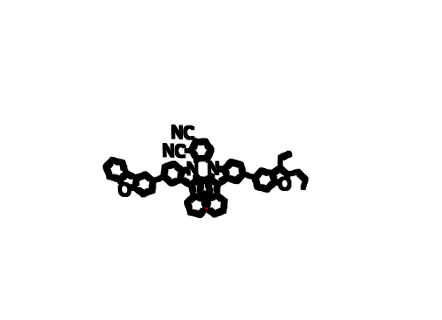 C=Cc1c(/C=C\C)oc2ccc(-c3ccc4c(c3)c3c5ccccc5ccc3n4-c3ccc(C#N)c(C#N)c3-n3c4ccc(-c5ccc6oc7ccccc7c6c5)cc4c4c5ccccc5ccc43)cc12